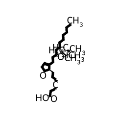 CCCCCCCCCC(CCC1=CCC(=O)[C@@H]1CCC=C=CCC(=O)O)O[Si](C)(C)C(C)(C)C